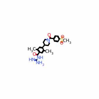 Cc1cc(C2CCN(C(=O)c3ccc(S(C)(=O)=O)cc3)CC2)c(C)cc1C(=O)NC(=N)N